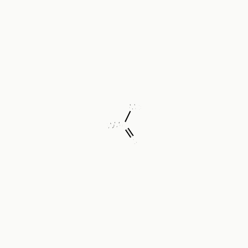 [S]=[Mo][Mo].[W]